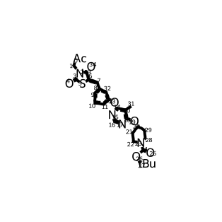 CC(=O)CN1C(=O)S/C(=C\c2cccc(Oc3ncnc(OC4CCN(C(=O)OC(C)(C)C)CC4)c3C)c2)C1=O